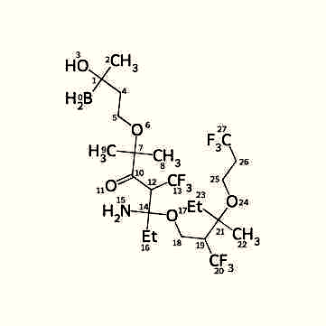 BC(C)(O)CCOC(C)(C)C(=O)C(C(F)(F)F)C(N)(CC)OCC(C(F)(F)F)C(C)(CC)OCCC(F)(F)F